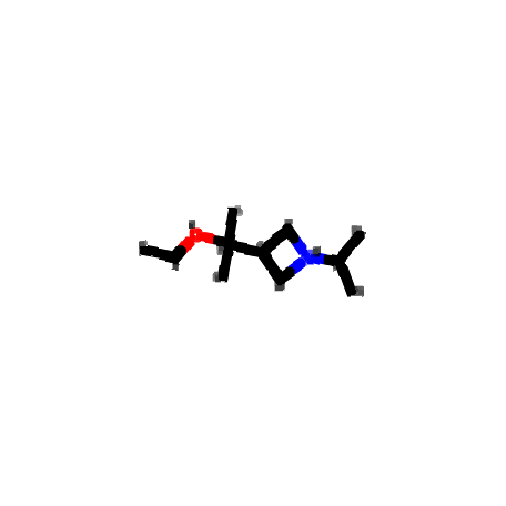 CCOC(C)(C)C1CN(C(C)C)C1